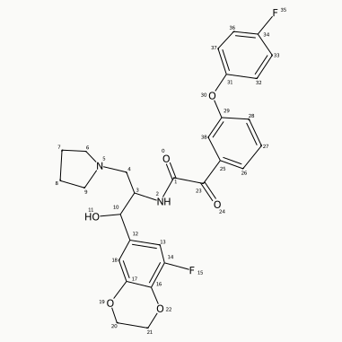 O=C(NC(CN1CCCC1)C(O)c1cc(F)c2c(c1)OCCO2)C(=O)c1cccc(Oc2ccc(F)cc2)c1